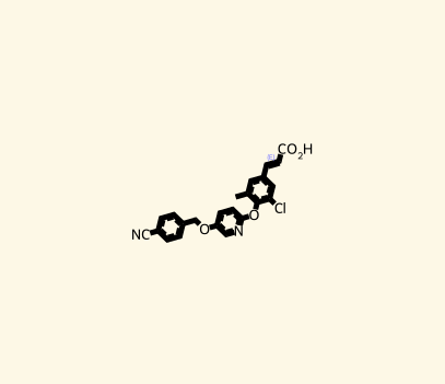 Cc1cc(/C=C/C(=O)O)cc(Cl)c1Oc1ccc(OCc2ccc(C#N)cc2)cn1